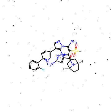 CS(=O)(=O)c1c(C2C[C@H]3CC[C@@H](C2)N3C(=O)c2cc(N)n[nH]2)nc2c(-c3ccc(-c4ccccc4F)nc3)cnn2c1N